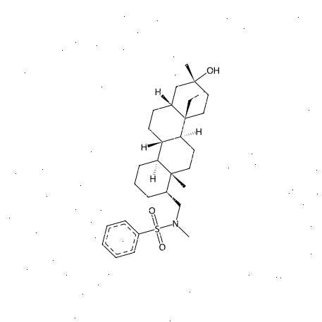 CC[C@]12CC[C@@](C)(O)C[C@H]1CC[C@H]1[C@@H]3CCC[C@H](CN(C)S(=O)(=O)c4ccccc4)[C@@]3(C)CC[C@@H]12